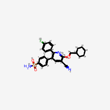 N#Cc1cc(-c2ccc(S(N)(=O)=O)cc2)c(-c2ccc(F)cc2)nc1OCC1CCCCC1